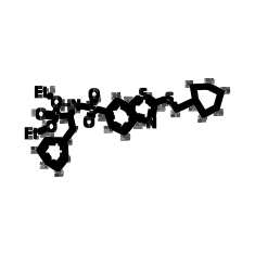 CCOP(=O)(OCC)C(Cc1ccccc1)NS(=O)(=O)c1ccc2nc(SCC3CCCCC3)sc2c1